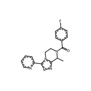 CC1c2nnc(-c3ccccn3)n2CCN1C(=O)c1ccc(F)cc1